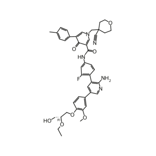 CCO[C@H](CO)COc1ccc(-c2cnc(N)c(-c3ccc(NC(=O)c4cn(CC5(C#N)CCOCC5)cc(-c5ccc(C)cc5)c4=O)cc3F)c2)cc1OC